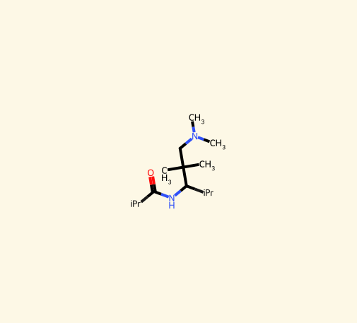 CC(C)C(=O)NC(C(C)C)C(C)(C)CN(C)C